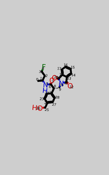 CC(CCF)NC(=O)[C@H](CN1C(=O)c2ccccc2C1=O)c1ccc(CO)cc1